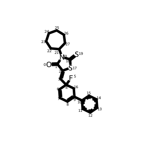 O=C1C(=CC2(F)C=CC=C(c3ccccc3)C2)SC(=S)N1C1CCCCCC1